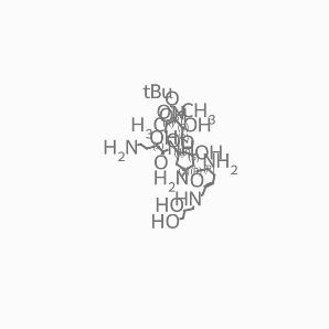 CN(C(=O)OC(C)(C)C)[C@@H]1[C@@H](O)[C@@H](O[C@H]2[C@H](NC(=O)[C@@H](O)CCN)C[C@H](N)C([C@H]3OC(CNCC(O)CO)=CC[C@H]3N)[C@@H]2O)OC[C@]1(C)O